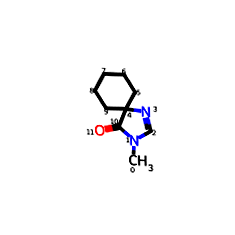 CN1C=NC2(CCCCC2)C1=O